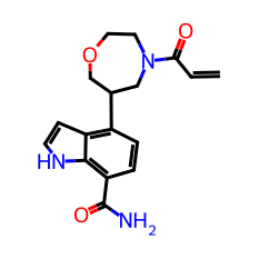 C=CC(=O)N1CCOCC(c2ccc(C(N)=O)c3[nH]ccc23)C1